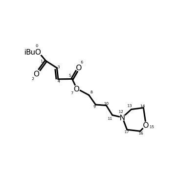 CC(C)COC(=O)/C=C/C(=O)OCCCCN1CCOCC1